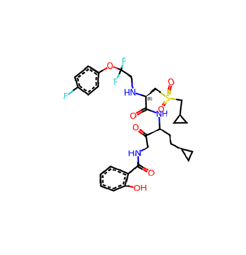 O=C(NCC(=O)C(CCC1CC1)NC(=O)[C@H](CS(=O)(=O)CC1CC1)NCC(F)(F)Oc1ccc(F)cc1)c1ccccc1O